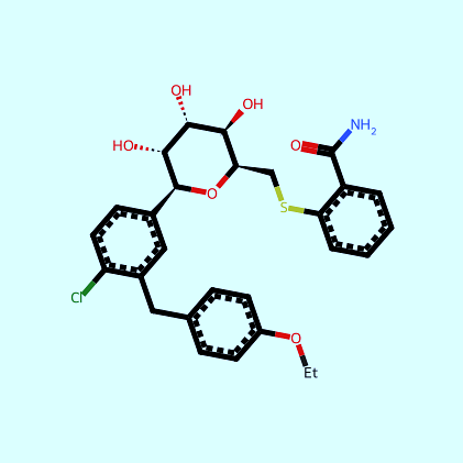 CCOc1ccc(Cc2cc([C@@H]3O[C@H](CSc4ccccc4C(N)=O)[C@H](O)[C@@H](O)[C@H]3O)ccc2Cl)cc1